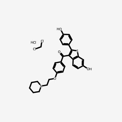 Cl.ClCCl.O=C(c1ccc(OCCN2CCCCC2)cc1)c1c(-c2ccc(O)cc2)sc2cc(O)ccc12